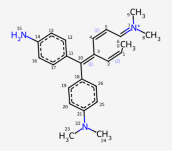 C\C=C/C(/C=C\C=[N+](C)C)=C(/c1ccc(N)cc1)c1ccc(N(C)C)cc1